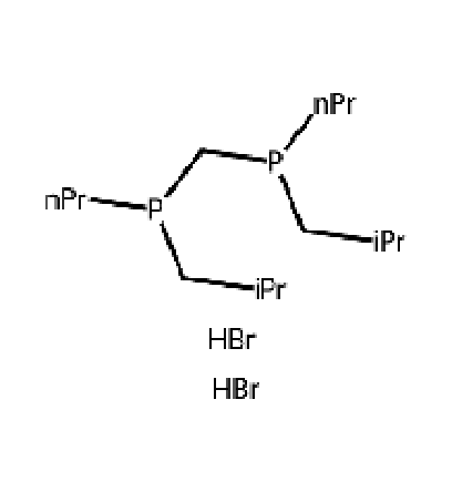 Br.Br.CCCP(CC(C)C)CP(CCC)CC(C)C